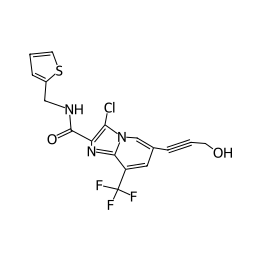 O=C(NCc1cccs1)c1nc2c(C(F)(F)F)cc(C#CCO)cn2c1Cl